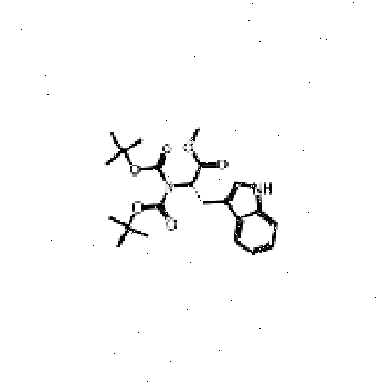 COC(=O)[C@H](Cc1c[nH]c2ccccc12)N(C(=O)OC(C)(C)C)C(=O)OC(C)(C)C